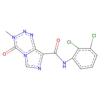 Cn1nnc2c(C(=O)Nc3cccc(Cl)c3Cl)ncn2c1=O